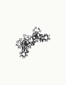 CCCO[Si](OCCC)(OCCC)C(CSSSCC(c1nc2ccccc2s1)[Si](OCCC)(OCCC)OCCC)c1nc2ccccc2s1